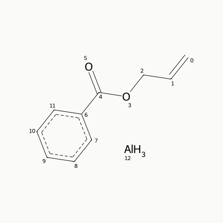 C=CCOC(=O)c1ccccc1.[AlH3]